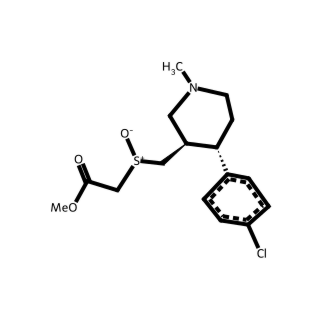 COC(=O)C[S+]([O-])C[C@H]1CN(C)CC[C@@H]1c1ccc(Cl)cc1